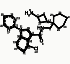 NC1CN(C2(CNC(=O)c3cn(-c4ncccn4)c4cccc(Cl)c34)CCCCC2)C1